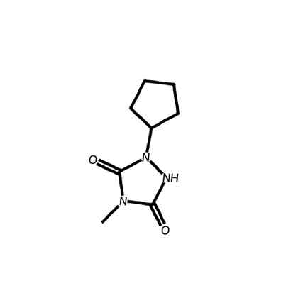 Cn1c(=O)[nH]n(C2CCCC2)c1=O